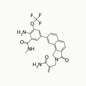 C=C(CN1Cc2c(ccc3ccc(-c4cc(OC(F)(F)F)c(N)c(C(=O)NC)c4)cc23)C1=O)C(N)=O